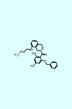 COCCNc1cccc2c1CN(C(=O)c1c(O)cc(O)cc1OCc1ccccc1)CC2